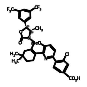 COc1ccc(-c2ccc(C(=O)O)cc2Cl)nc1C1=C(CN2C(=O)O[C@H](c3cc(C(F)(F)F)cc(C(F)(F)F)c3)[C@@H]2C)CC(C)(C)CC1